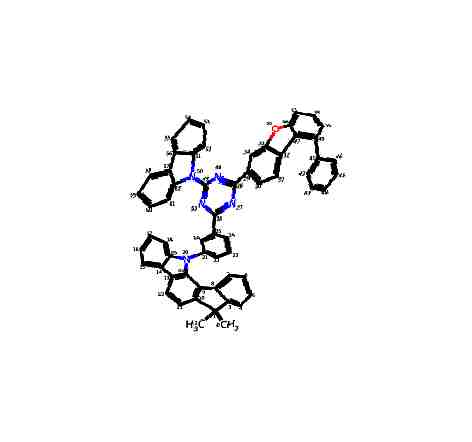 CC1(C)c2ccccc2-c2c1ccc1c3ccccc3n(-c3cccc(-c4nc(-c5ccc6c(c5)oc5cccc(-c7ccccc7)c56)nc(-n5c6ccccc6c6ccccc65)n4)c3)c21